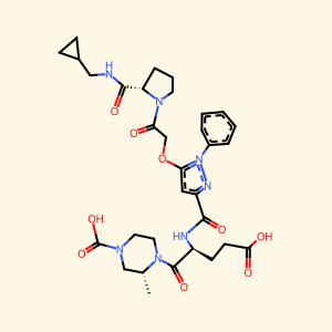 C[C@@H]1CN(C(=O)O)CCN1C(=O)[C@H](CCC(=O)O)NC(=O)c1cc(OCC(=O)N2CCC[C@H]2C(=O)NCC2CC2)n(-c2ccccc2)n1